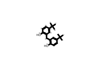 CC(C)(C)c1ccc(O)c(Cc2cc(C(C)(C)C)ccc2O)c1